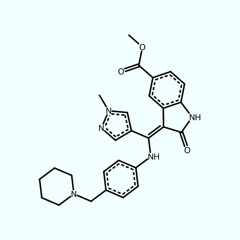 COC(=O)c1ccc2c(c1)/C(=C(/Nc1ccc(CN3CCCCC3)cc1)c1cnn(C)c1)C(=O)N2